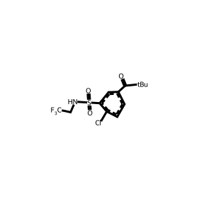 CC(C)(C)C(=O)c1ccc(Cl)c(S(=O)(=O)NCC(F)(F)F)c1